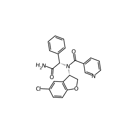 NC(=O)[C@H](c1ccccc1)N(C(=O)c1cccnc1)[C@@H]1COc2ccc(Cl)cc21